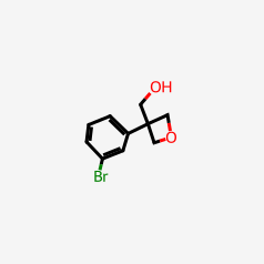 OCC1(c2cccc(Br)c2)COC1